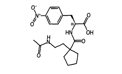 CC(=O)NCCC1(C(=O)N[C@@H](Cc2ccc([N+](=O)[O-])cc2)C(=O)O)CCCC1